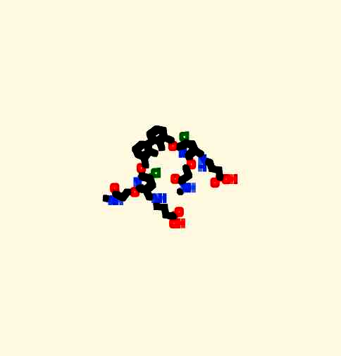 CNC(=O)CCOc1nc(OCc2cccc(-c3cccc(COc4nc(OCCC(=O)NC)c(CNCCCC(=O)O)cc4Cl)c3C)c2C)c(Cl)cc1CNCCCC(=O)O